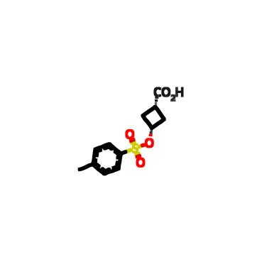 Cc1ccc(S(=O)(=O)O[C@H]2C[C@@H](C(=O)O)C2)cc1